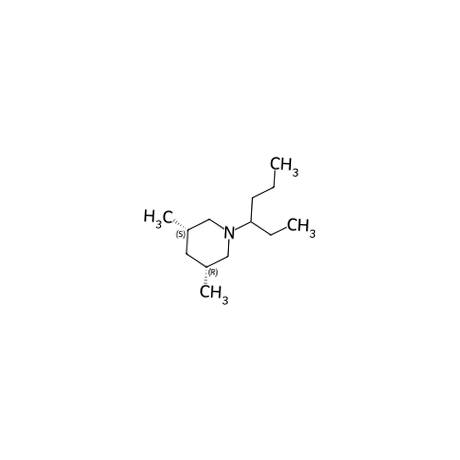 CCCC(CC)N1C[C@H](C)C[C@H](C)C1